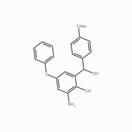 COc1ccc(C(O)c2cc(Sc3ccccc3)cc(N)c2O)cc1